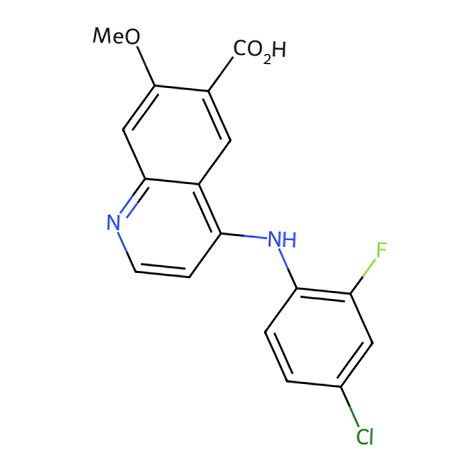 COc1cc2nccc(Nc3ccc(Cl)cc3F)c2cc1C(=O)O